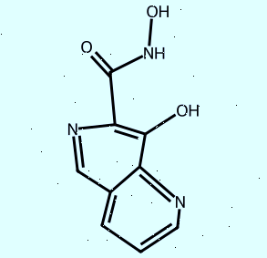 O=C(NO)c1ncc2cccnc2c1O